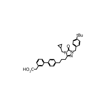 CC(C)(C)c1ccc(Cn2nc(CCCc3ccc(-c4cccc(CC(=O)O)c4)cc3)n(CC3CC3)c2=O)cc1